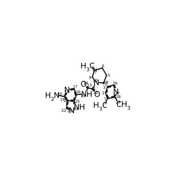 Cc1cc([C@H]2CC[C@H](C)CN2C(=O)C(=O)Nc2cnc(N)c3cn[nH]c23)cnc1C